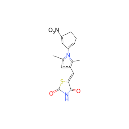 Cc1cc(/C=C2\SC(=O)NC2=O)c(C)n1C1=CCCC([N+](=O)[O-])=C1